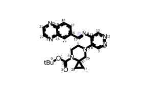 CC(C)(C)OC(=O)N1CCN(c2cnncc2/N=C/c2ccc3nccnc3c2)CC12CC2